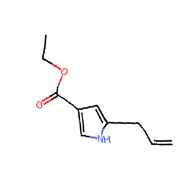 C=CCc1cc(C(=O)OCC)c[nH]1